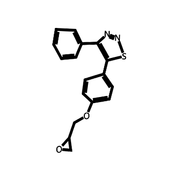 c1ccc(-c2nnsc2-c2ccc(OCC3CO3)cc2)cc1